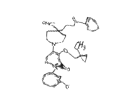 CC1(COc2c(N3CCC(C=O)(CCNc4ccccc4)CC3)cnn(-c3cccc(Cl)c3)c2=O)CC1